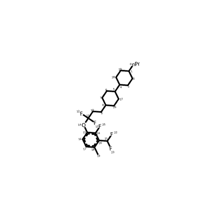 CCCC1CCC(C2CCC(CCC(F)(F)Oc3ccc(C)c(C(F)F)c3F)CC2)CC1